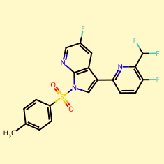 Cc1ccc(S(=O)(=O)n2cc(-c3ccc(F)c(C(F)F)n3)c3cc(F)cnc32)cc1